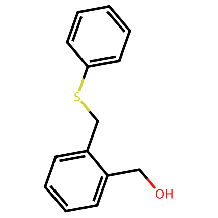 OCc1ccccc1CSc1ccccc1